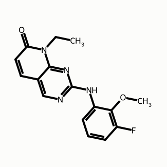 CCn1c(=O)ccc2cnc(Nc3cccc(F)c3OC)nc21